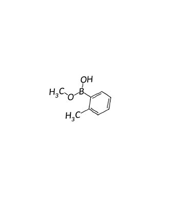 COB(O)c1ccccc1C